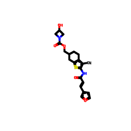 N#Cc1c(NC(=O)C=Cc2ccoc2)sc2c1CCC(COC(=O)N1CC(O)C1)C2